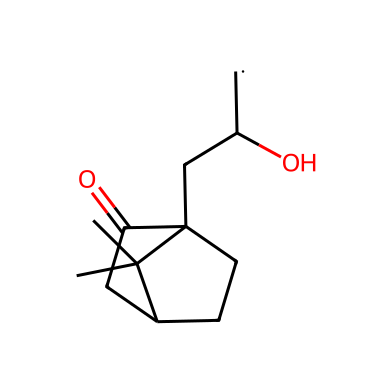 [CH2]C(O)CC12CCC(CC1=O)C2(C)C